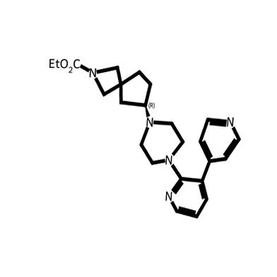 CCOC(=O)N1CC2(CC[C@@H](N3CCN(c4ncccc4-c4ccncc4)CC3)C2)C1